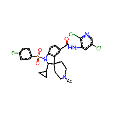 CC(=O)N1CCC2(CC1)c1cc(C(=O)Nc3cc(Cl)cnc3Cl)ccc1N(S(=O)(=O)c1ccc(F)cc1)C2C1CC1